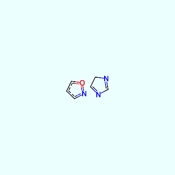 C1=NC=NC1.c1cnoc1